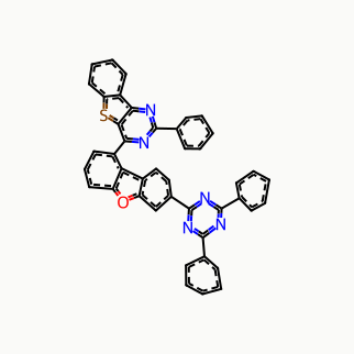 c1ccc(-c2nc(-c3ccccc3)nc(-c3ccc4c(c3)oc3cccc(-c5nc(-c6ccccc6)nc6c5sc5ccccc56)c34)n2)cc1